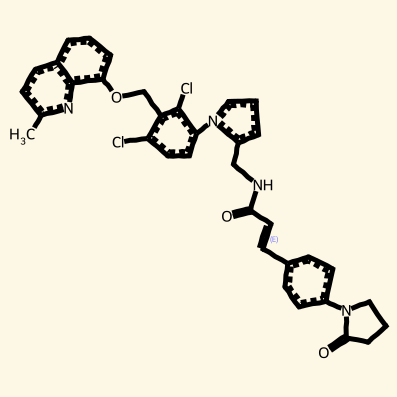 Cc1ccc2cccc(OCc3c(Cl)ccc(-n4cccc4CNC(=O)/C=C/c4ccc(N5CCCC5=O)cc4)c3Cl)c2n1